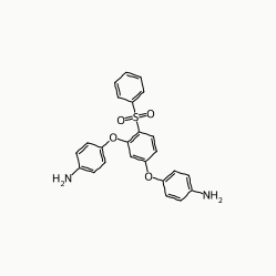 Nc1ccc(Oc2ccc(S(=O)(=O)c3ccccc3)c(Oc3ccc(N)cc3)c2)cc1